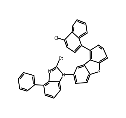 CCc1nc2c(-c3ccccc3)cccc2n1-c1ccc2sc3cccc(-c4ccc(Cl)c5ccccc45)c3c2c1